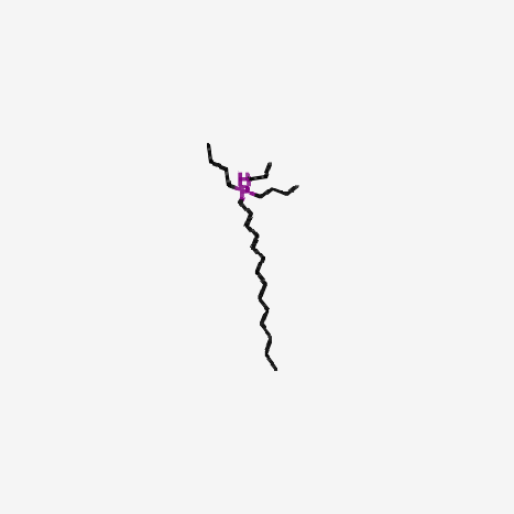 CCCCCCCCCCCCCC[PH](CCC)(CCCC)CCCC